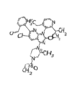 C=CC(=[18O])N1CCN(c2nc(=O)n(-c3c(CC)ccnc3C(C)C)c3nc(-c4c(F)cccc4C=O)c(Cl)cc23)[C@@H](C)C1